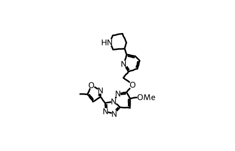 COc1cc2nnc(-c3cc(C)on3)n2nc1OCc1cccc(C2CCCNC2)n1